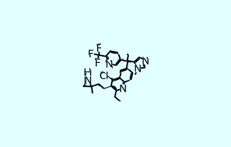 CCc1nc2ccc(C(C)(c3ccc(C(F)(F)F)nc3)c3cncn3C)cc2c(Cl)c1CCC1(C)CN1